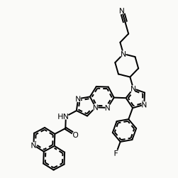 N#CCCN1CCC(n2cnc(-c3ccc(F)cc3)c2-c2ccc3nc(NC(=O)c4ccnc5ccccc45)cn3n2)CC1